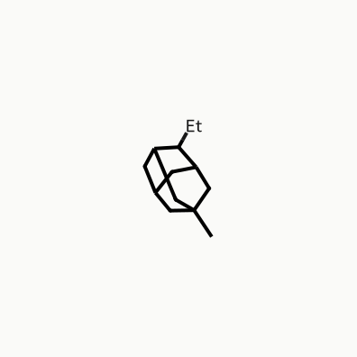 CCC1C2CC3CC1CC(C)(C3)C2